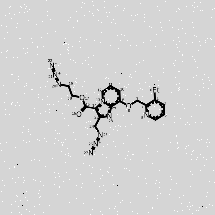 CCc1cccnc1COc1cccn2c(C(=O)OCCN=[N+]=[N-])c(CN=[N+]=[N-])nc12